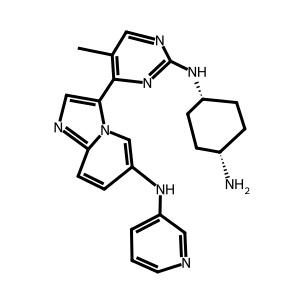 Cc1cnc(N[C@H]2CC[C@@H](N)CC2)nc1-c1cnc2ccc(Nc3cccnc3)cn12